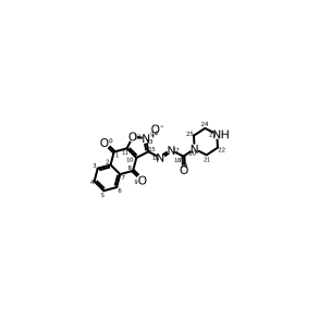 O=C1c2ccccc2C(=O)c2c1o[n+]([O-])c2/N=N/C(=O)N1CCNCC1